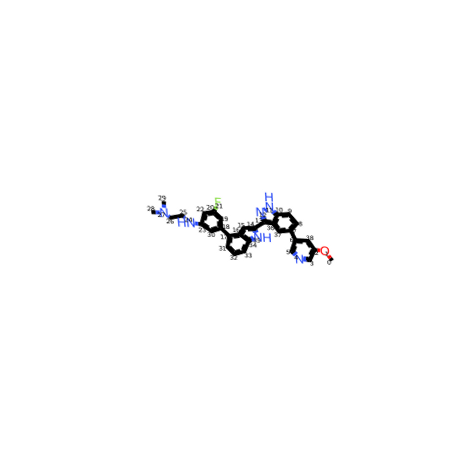 COc1cncc(-c2ccc3[nH]nc(-c4cc5c(-c6cc(F)cc(NCCN(C)C)c6)cccc5[nH]4)c3c2)c1